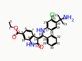 CCOC(=O)c1ccc2c(c1)NC(=O)C2=C(Nc1ccc(C(C)(C)N)c(Cl)c1)c1ccccc1